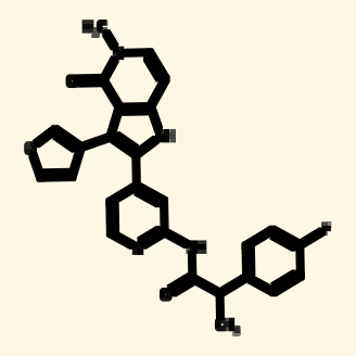 CC(C(=O)Nc1cc(-c2[nH]c3ccn(C)c(=O)c3c2-c2ccoc2)ccn1)c1ccc(F)cc1